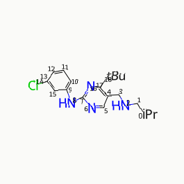 CC(C)CNCc1cnc(Nc2cccc(Cl)c2)nc1C(C)(C)C